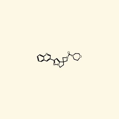 O=C(N1CCOCC1)N1CC2(CCn3nc(-c4cnc5ccccc5c4)cc32)C1